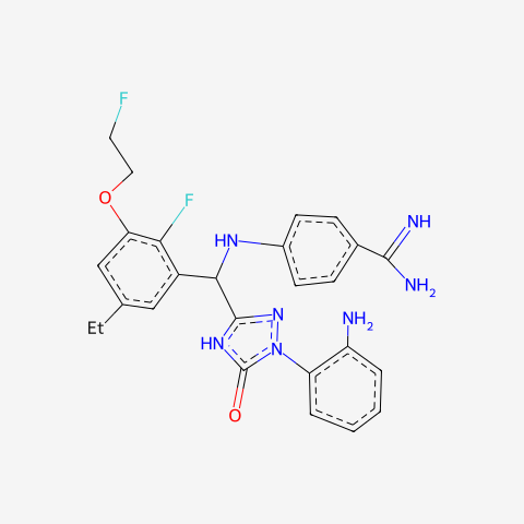 CCc1cc(OCCF)c(F)c(C(Nc2ccc(C(=N)N)cc2)c2nn(-c3ccccc3N)c(=O)[nH]2)c1